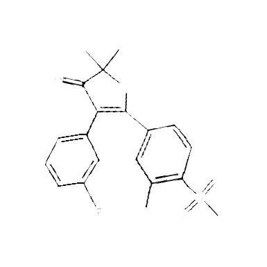 Cc1cc(C2=C(c3cccc(F)c3)C(=O)C(C)(C)O2)ccc1S(C)(=O)=O